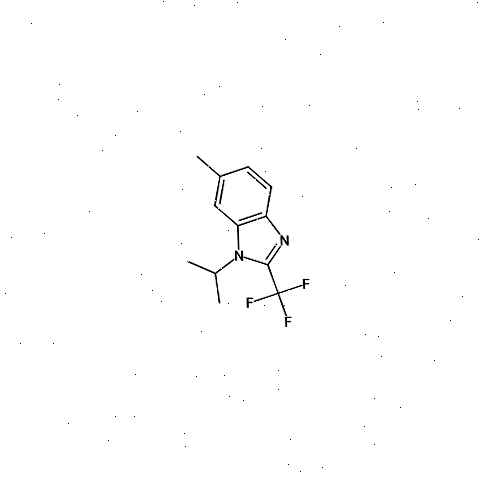 Cc1ccc2nc(C(F)(F)F)n(C(C)C)c2c1